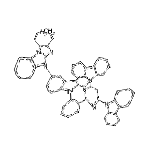 C=Cc1nc2n(-c3ccc4c(c3)c3ccccc3n4-c3ccccc3-c3nc(-n4c5ccccc5c5ccccc54)cc(-n4c5ccccc5c5ccccc54)n3)c3ccccc3n2c1/C=C\C